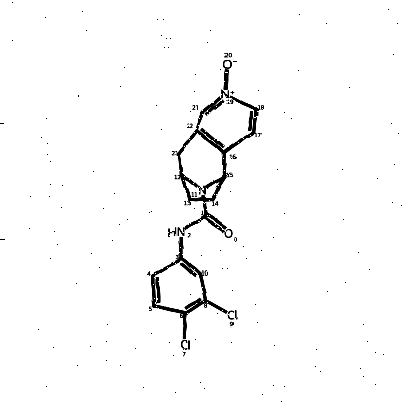 O=C(Nc1ccc(Cl)c(Cl)c1)N1C2CCC1c1cc[n+]([O-])cc1C2